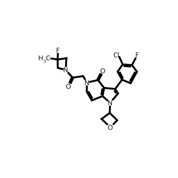 CC1(F)CN(C(=O)Cn2ccc3c(c(-c4ccc(F)c(Cl)c4)cn3C3COC3)c2=O)C1